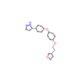 c1cc(-c2ccc(Oc3ccc(OCCc4cnoc4)cc3)cc2)[nH]n1